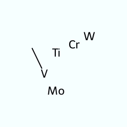 [CH3][V].[Cr].[Mo].[Ti].[W]